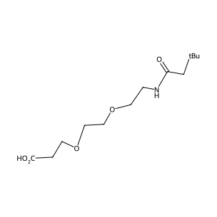 CC(C)(C)CC(=O)NCCOCCOCCC(=O)O